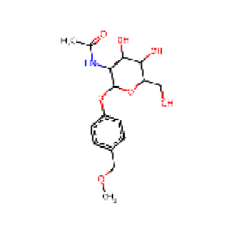 COCc1ccc(OC2OC(CO)C(O)C(O)C2NC(C)=O)cc1